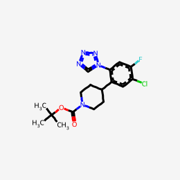 CC(C)(C)OC(=O)N1CCC(c2cc(Cl)c(F)cc2-n2cnnn2)CC1